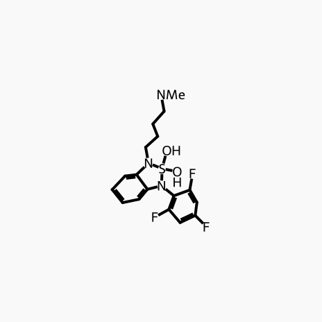 CNCCCCN1c2ccccc2N(c2c(F)cc(F)cc2F)S1(O)O